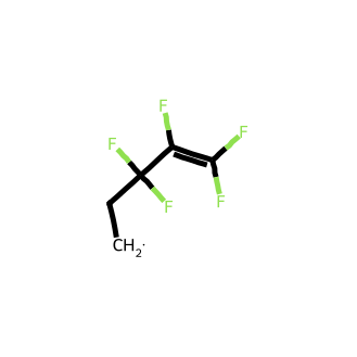 [CH2]CC(F)(F)C(F)=C(F)F